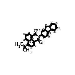 CN(C)c1ccc2c3c(cccc13)C(=O)N(c1ccc3c(c1)Cc1ccccc1-3)C2=O